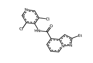 CCc1cc2c(C(=O)Nc3c(Cl)cncc3Cl)cccn2n1